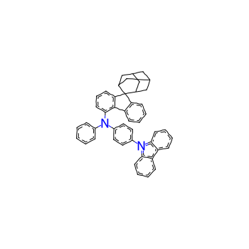 c1ccc(N(c2ccc(-n3c4ccccc4c4ccccc43)cc2)c2cccc3c2-c2ccccc2C32C3CC4CC(C3)CC2C4)cc1